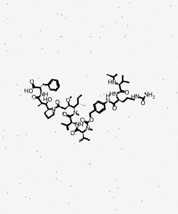 CC[C@H](C)[C@@H]([C@@H](CC(=O)N1CCC[C@H]1[C@H](O)[C@@H](C)C(=O)N[C@@H](Cc1ccccc1)C(=O)O)OC)N(C)C(=O)[C@@H](NC(=O)[C@H](C(C)C)N(C)C(=O)OCc1ccc(NC(=O)[C@H](CCCNC(N)=O)NC(=O)[C@@H](NC(C)C)C(C)C)cc1)C(C)C